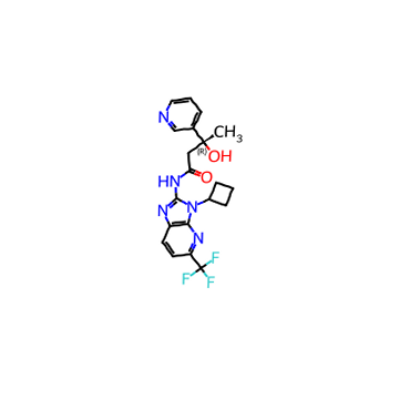 C[C@@](O)(CC(=O)Nc1nc2ccc(C(F)(F)F)nc2n1C1CCC1)c1cccnc1